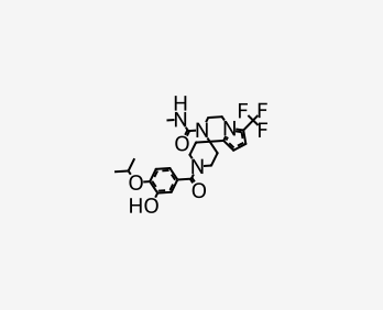 CNC(=O)N1CCn2c(C(F)(F)F)ccc2C12CCN(C(=O)c1ccc(OC(C)C)c(O)c1)CC2